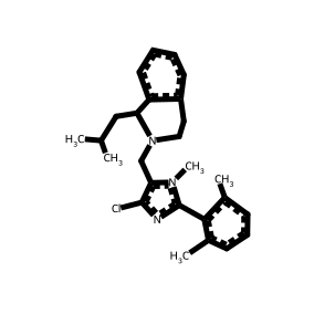 Cc1cccc(C)c1-c1nc(Cl)c(CN2CCc3ccccc3C2CC(C)C)n1C